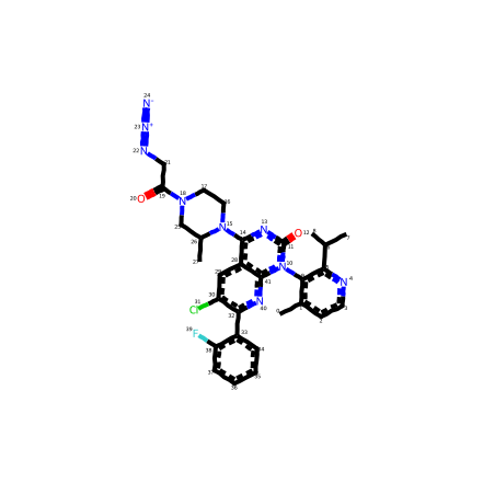 Cc1ccnc(C(C)C)c1-n1c(=O)nc(N2CCN(C(=O)CN=[N+]=[N-])CC2C)c2cc(Cl)c(-c3ccccc3F)nc21